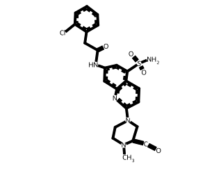 CN1CCN(c2ccc3c(S(N)(=O)=O)cc(NC(=O)Cc4ccccc4Cl)cc3n2)CC1=C=O